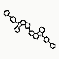 c1ccc(-c2ccc(-n3c4ccccc4c4c5cc(-c6ccc7ccc8c(c7c6)c6ccccc6n8-c6ccc(-c7ccccc7)cc6)ccc5ccc43)cc2)cc1